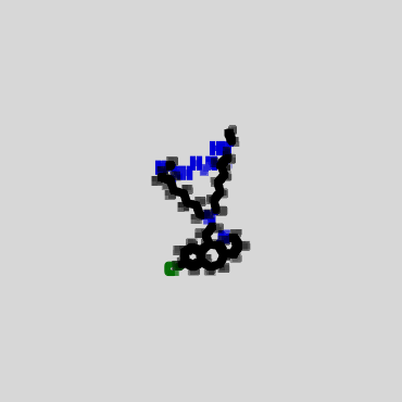 C=CN/C=C(\N)CCCCCN(CCCCCc1cnc[nH]1)CCC1c2ccc(Cl)cc2CCc2cccnc21